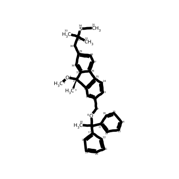 CO[C@@]1(C)c2cc(COC(C)(c3ccccc3)c3ccccc3)ccc2-c2ccc(CC(C)(C)SC)cc21